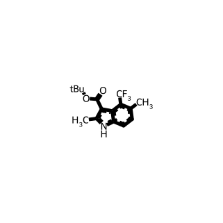 Cc1ccc2[nH]c(C)c(C(=O)OC(C)(C)C)c2c1C(F)(F)F